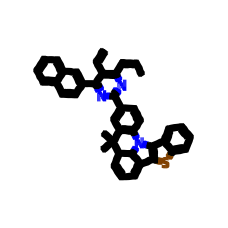 C=Cc1c(/C=C\C)nc(-c2ccc3c(c2)C(C)(C)C2C=CC=C4c5sc6ccccc6c5N3C42)nc1-c1ccc2ccccc2c1